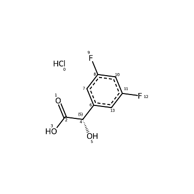 Cl.O=C(O)[C@@H](O)c1cc(F)cc(F)c1